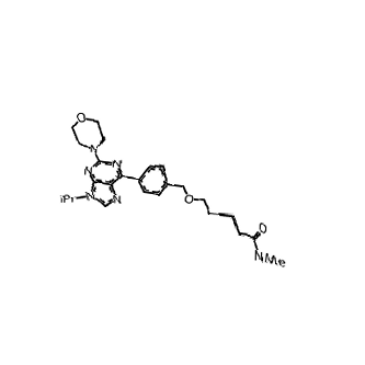 CNC(=O)CCCCOCc1ccc(-c2nc(N3CCOCC3)nc3c2ncn3C(C)C)cc1